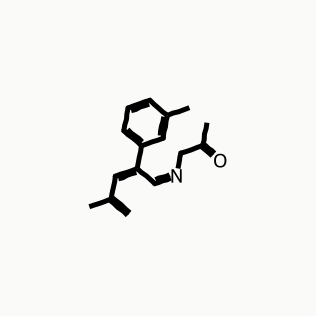 C=C(C)/C=C(\C=N/CC(C)=O)c1cccc(C)c1